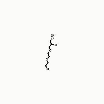 CC(C)(C)OCC(O)COCCOCCO